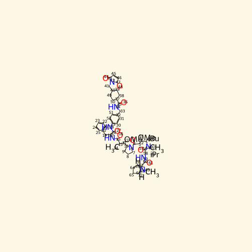 CC[C@H](C)[C@@H]([C@@H](CC(=O)N1CCC[C@H]1[C@H](OC)[C@@H](C)C(=O)N[C@@H](Cc1ccccc1)C(=O)Nc1ccc(CNC(=O)C2CCC(CN3C(=O)C=CC3=O)CC2)cc1)OC)N(C)C(=O)[C@@H](NC(=O)[C@@H]1[C@H]2CC[C@@H](C2)N1C)C(C)C